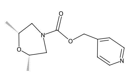 C[C@@H]1CN(C(=O)OCc2ccncc2)C[C@H](C)O1